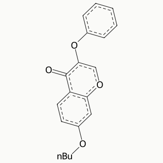 CCCCOc1ccc2c(=O)c(Oc3ccccc3)coc2c1